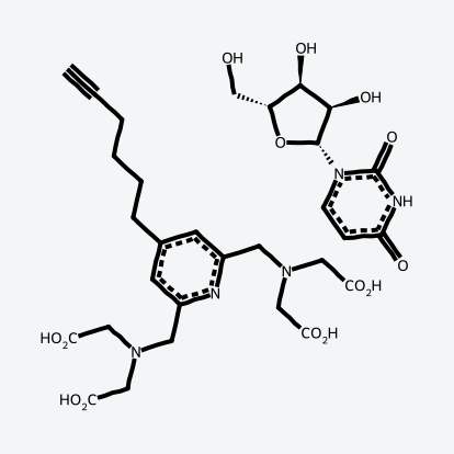 C#CCCCCc1cc(CN(CC(=O)O)CC(=O)O)nc(CN(CC(=O)O)CC(=O)O)c1.O=c1ccn([C@@H]2O[C@H](CO)[C@@H](O)[C@H]2O)c(=O)[nH]1